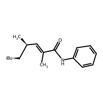 CC[C@H](C)C[C@@H](C)/C=C(\C)C(=O)Nc1ccccc1